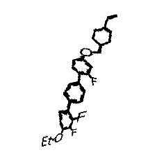 C=CC1CCC(COc2ccc(-c3ccc(-c4ccc(OCC)c(F)c4F)cc3)c(F)c2)CC1